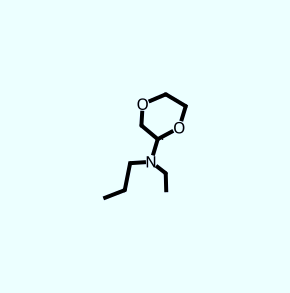 CCCN(CC)[C]1COCCO1